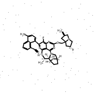 C#Cc1cccc2c(N)ccc(-c3nc4c5c(nc(OCC67CC(=C)CN6C[C@H](F)C7)nc5c3F)N3C[C@H]5CC[C@H](N5)[C@H]3[C@H](C)O4)c12